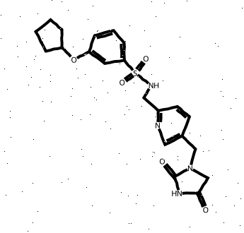 O=C1CN(Cc2ccc(CNS(=O)(=O)c3cccc(OC4CCCC4)c3)nc2)C(=O)N1